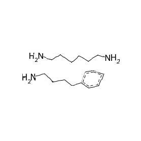 NCCCCCCN.NCCCCc1ccccc1